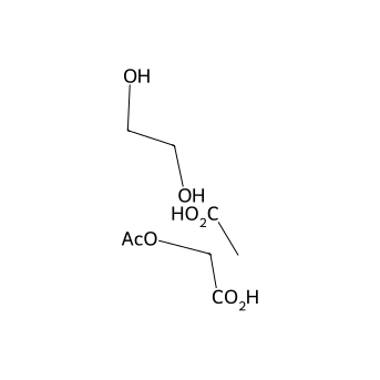 CC(=O)O.CC(=O)OCC(=O)O.OCCO